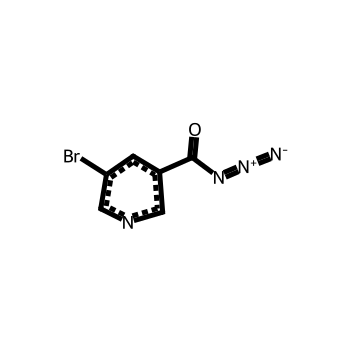 [N-]=[N+]=NC(=O)c1cncc(Br)c1